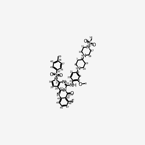 COc1cc(N2CCC(N3CCN(S(C)(=O)=O)CC3)CC2)ccc1Nc1nc2c(ccn2S(=O)(=O)c2ccc(C)cc2)c2nc3cccc(F)c3c(=O)n12